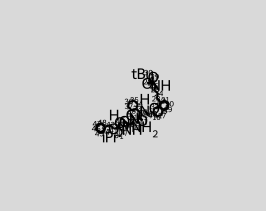 CC(C)C[C@@H](NC(=O)[C@@H](N)N(C)C(=O)[C@@H](NC[C@H]1CCc2cccc(CCCNC(=O)OC(C)(C)C)c2O1)C1CCCCC1)C(=O)OCc1ccccc1